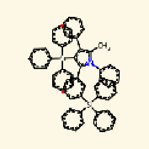 Cc1c(-c2ccccc2)c([Si](c2ccccc2)(c2ccccc2)c2ccccc2)c(-c2cccc([Si](c3ccccc3)(c3ccccc3)c3ccccc3)c2)n1-c1ccccc1